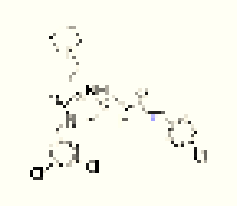 O=C(/C=C/c1ccc(Cl)cc1)NC[C@@H]1CCN(Cc2cc(Cl)cc(Cl)c2)C(=O)[C@H](CCN2CCCCC2)N1